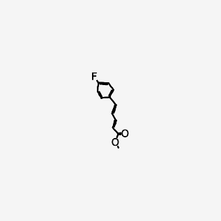 COC(=O)C=CC=Cc1ccc(F)cc1